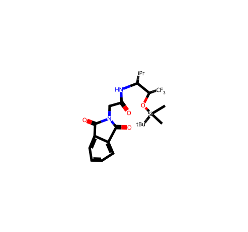 CC(C)C(NC(=O)CN1C(=O)c2ccccc2C1=O)C(O[Si](C)(C)C(C)(C)C)C(F)(F)F